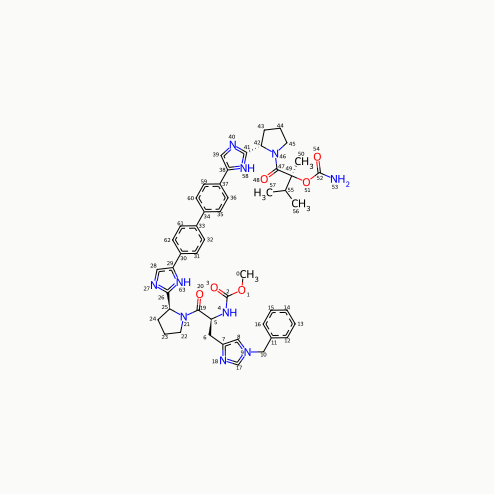 COC(=O)N[C@@H](Cc1cn(Cc2ccccc2)cn1)C(=O)N1CCC[C@H]1c1ncc(-c2ccc(-c3ccc(-c4cnc([C@@H]5CCCN5C(=O)[C@@](C)(OC(N)=O)C(C)C)[nH]4)cc3)cc2)[nH]1